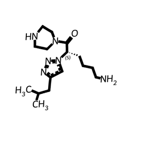 CC(C)Cc1cn([C@@H](CCCCN)C(=O)N2CCNCC2)nn1